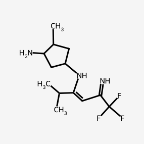 CC(C)/C(=C/C(=N)C(F)(F)F)NC1CC(C)C(N)C1